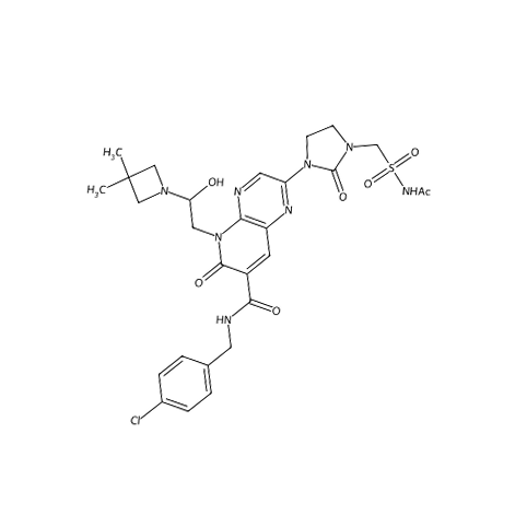 CC(=O)NS(=O)(=O)CN1CCN(c2cnc3c(cc(C(=O)NCc4ccc(Cl)cc4)c(=O)n3CC(O)N3CC(C)(C)C3)n2)C1=O